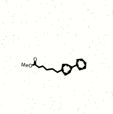 COC(=O)CCCCCc1ccc(-c2ccccc2)cc1